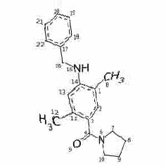 Cc1cc(C(=O)N2CCCC2)c(C)cc1NCc1ccccc1